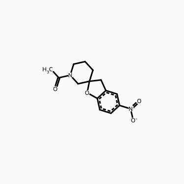 CC(=O)N1CCCC2(Cc3cc([N+](=O)[O-])ccc3O2)C1